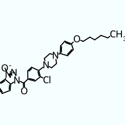 CCCCCCOc1ccc(N2CCN(c3ccc(C(=O)n4n[n+]([O-])c5ccccc54)cc3Cl)CC2)cc1